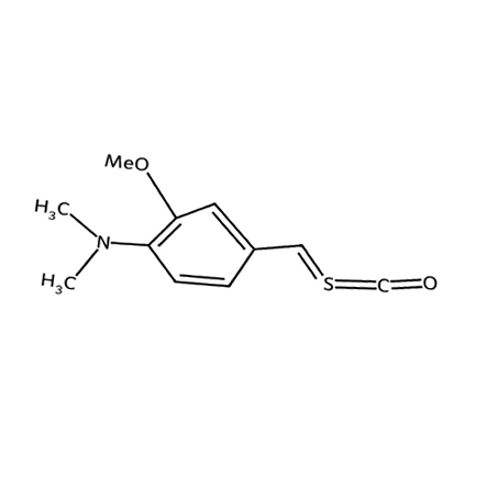 COc1cc(C=S=C=O)ccc1N(C)C